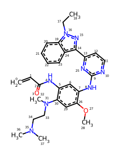 C=CC(=O)Nc1cc(Nc2nccc(-c3nn(CC)c4ccccc34)n2)c(OC)cc1N(C)CCN(C)C